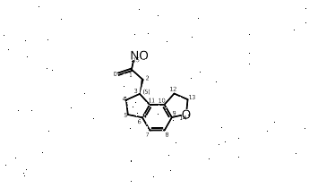 C=C(C[C@@H]1CCc2ccc3c(c21)CCO3)N=O